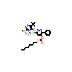 CCCCCCCCSC(=O)Oc1cc(Cl)nnc1-c1ccccc1.CSc1nnc(C(C)(C)C)c(=O)n1N